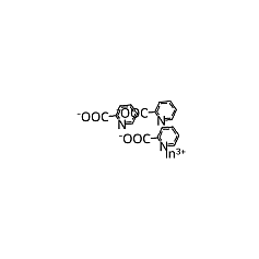 O=C([O-])c1ccccn1.O=C([O-])c1ccccn1.O=C([O-])c1ccccn1.[In+3]